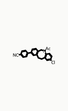 CC(=O)N1Cc2ccc(-c3ccc(C#N)cc3)cc2CCc2cc(Cl)ccc21